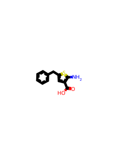 Nc1sc(Cc2ccccc2)cc1C(=O)O